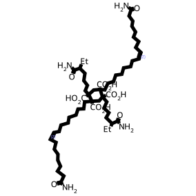 CCC(CCCCC1(C(=O)O)CC(CCCCCCCC/C=C\CCCCCCCC(N)=O)(C(=O)O)C(CCCCC(CC)C(N)=O)(C(=O)O)CC1(CCCCCCCC/C=C\CCCCCCCC(N)=O)C(=O)O)C(N)=O